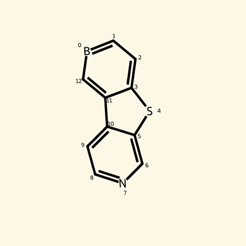 b1ccc2sc3cnccc3c2c1